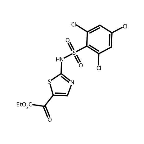 CCOC(=O)C(=O)c1cnc(NS(=O)(=O)c2c(Cl)cc(Cl)cc2Cl)s1